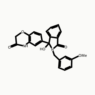 COc1cccc(CN2C(=O)c3ccccc3C2(O)c2ccc3c(c2)NC(=O)CO3)c1